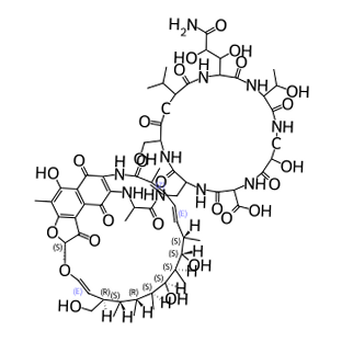 C/C1=C/C=C/[C@H](C)[C@H](O)[C@@H](C)[C@@H](O)[C@@H](C)[C@H](C)[C@H](C)[C@@H](CO)/C=C/O[C@@]2(C)Oc3c(C)c(O)c4c(c3C2=O)C(=O)C(NC(C)C(=O)NCC2NC(=O)C(C(=O)O)NC(=O)C(O)CNC(=O)C(C(C)O)NC(=O)C(C(O)C(O)C(N)=O)NC(=O)C(C(C)C)CC(=O)C(CO)NC2=O)=C(NC1=O)C4=O